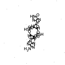 Nc1ncnc2c1ncn2[C@@H]1O[C@@H]2COP(=O)(S)O[C@H]3C[C@H](n4cnc5c(=O)[nH]cnc54)O[C@@H]3COP(=O)(S)O[C@H]2[C@H]1F